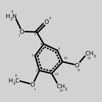 COc1cc(C(=O)ON)cc(OC)c1C